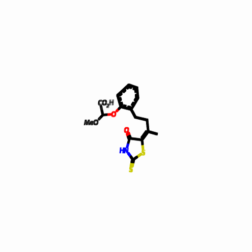 COC(Oc1ccccc1CCC(C)=C1SC(=S)NC1=O)C(=O)O